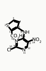 O=C(O)c1sccc1Nc1nc(Cl)ncc1[N+](=O)[O-]